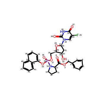 O=C(OCc1ccccc1)C1CCCN1P(=O)(OC[C@H]1O[C@@H](n2cc(F)c(=O)[nH]c2=O)C[C@H]1O)Oc1cccc2ccccc12